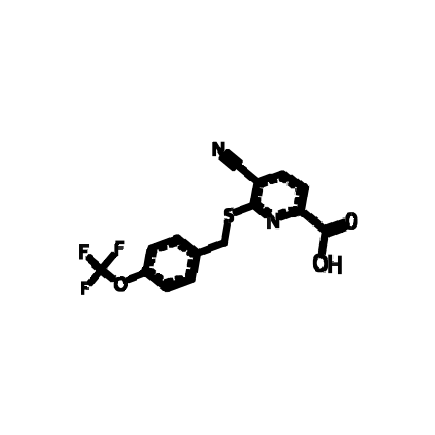 N#Cc1ccc(C(=O)O)nc1SCc1ccc(OC(F)(F)F)cc1